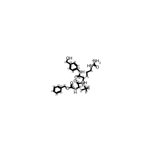 NC(=O)NCCC[C@H](NC(=O)[C@H](CC(F)(F)F)NC(=O)OCc1ccccc1)C(=O)Nc1ccc(CO)cc1